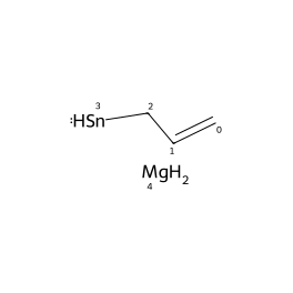 C=C[CH2][SnH].[MgH2]